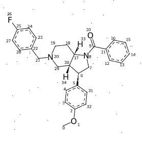 COc1ccc([C@@H]2CN(C(=O)c3ccccc3)[C@H]3CCN(Cc4ccc(F)cc4)C[C@@H]23)cc1